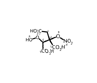 O=C(O)CC(O[N+](=O)[O-])(C(=O)O)C(OO)C(=O)O